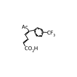 CC(=O)/C(=C/C=C/C(=O)O)c1ccc(C(F)(F)F)cc1